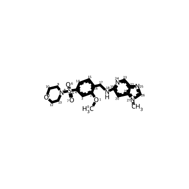 COc1cc(S(=O)(=O)N2CCOCC2)ccc1CNc1cc2c(cn1)ncn2C